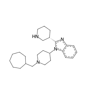 c1ccc2c(c1)nc([C@H]1CCCNC1)n2C1CCN(CC2CCCCCC2)CC1